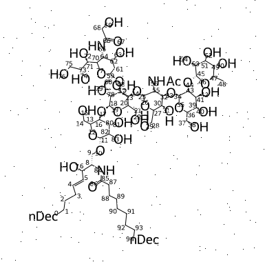 CCCCCCCCCCCCC/C=C/[C@@H](O)[C@H](CO[C@@H]1OC(CO)[C@@H](O[C@@H]2OC(CO)[C@H](O[C@@H]3OC(CO)[C@H](O)[C@H](O[C@@H]4OC(CO)[C@H](O)[C@H](O)C4O[C@H]4OC(C)[C@@H](O)C(O)[C@@H]4O)C3NC(C)=O)[C@H](O[C@]3(C(=O)O)CC(O)[C@@H](NC(=O)CO)C([C@H](O)[C@H](O)CO)O3)C2O)[C@H](O)C1O)NC(=O)CCCCCCCCCCCCCCCCC